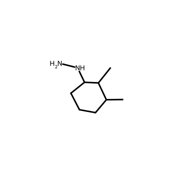 CC1CCCC(NN)C1C